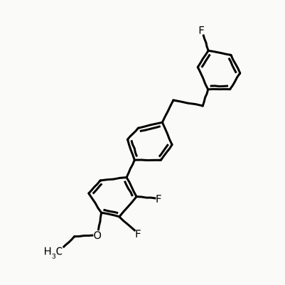 CCOc1ccc(-c2ccc(CCc3cccc(F)c3)cc2)c(F)c1F